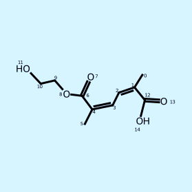 CC(=CC=C(C)C(=O)OCCO)C(=O)O